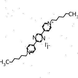 CCCCCC[n+]1ccc(-c2cnc(-c3cc[n+](CCCCCC)cc3)cn2)cc1.[I-].[I-]